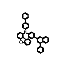 c1ccc(-c2ccc(N(c3ccc(-c4cc(-c5ccccc5)c5ccccc5c4)cc3)c3cccc4oc5ccccc5c34)cc2)cc1